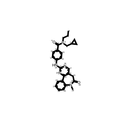 CCCN(CC1CC1)C(=O)c1ccc(Nc2ncc3c(n2)-c2ccccc2N(C)C(=O)C3)cc1